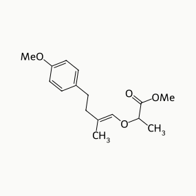 COC(=O)C(C)OC=C(C)CCc1ccc(OC)cc1